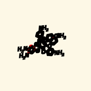 Nc1ccc(ON2P(Oc3ccc(N)cc3)N=P(Oc3ccc(N)cc3)(Oc3ccc(Cl)cc3)N(Oc3ccc(N)cc3)P2Oc2ccc(N)cc2)cc1